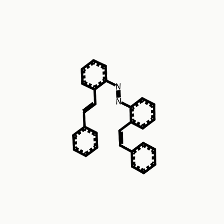 C(=Cc1ccccc1/N=N/c1ccccc1C=Cc1ccccc1)c1ccccc1